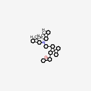 CC1(C)c2ccccc2-c2ccc(N(c3cccc(-c4cccc5c4-c4ccc(-c6cccc7c6oc6ccccc67)cc4C54c5ccccc5-c5ccccc54)c3)c3ccc4c(c3)C(C)(C)c3ccccc3-4)cc21